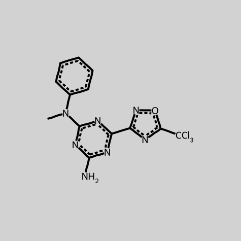 CN(c1ccccc1)c1nc(N)nc(-c2noc(C(Cl)(Cl)Cl)n2)n1